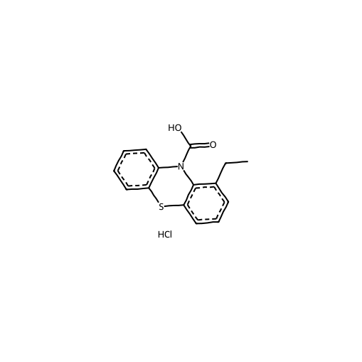 CCc1cccc2c1N(C(=O)O)c1ccccc1S2.Cl